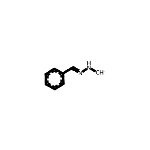 [CH]NN=Cc1ccccc1